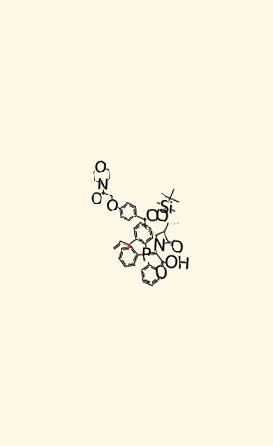 C=CCc1ccccc1P(=C(C(=O)O)N1C(=O)[C@H]([C@@H](C)O[Si](C)(C)C(C)(C)C)[C@H]1CC(=O)c1ccc(OCC(=O)N2CCOCC2)cc1)(c1ccccc1)c1ccccc1